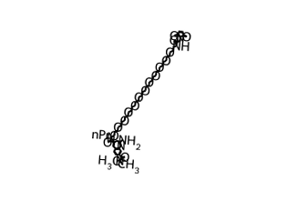 CCCN(OCCOCCOCCOCCOCCOCCOCCOCCOCCOCCOCCOCCNC(=O)CN1C(=O)C=CC1=O)C(=O)C1=Cc2ccc(C(=O)N(C)C)cc2N=C(N)C1